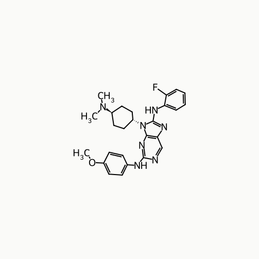 COc1ccc(Nc2ncc3nc(Nc4ccccc4F)n([C@H]4CC[C@H](N(C)C)CC4)c3n2)cc1